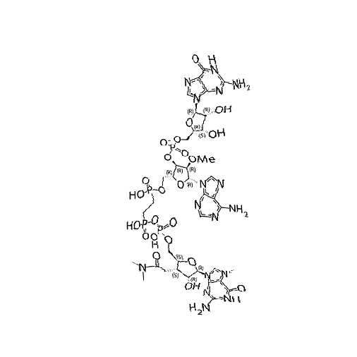 CO[C@@H]1[C@H](OP(=O)([O-])OC[C@H]2O[C@@H](n3cnc4c(=O)[nH]c(N)nc43)[C@H](O)[C@@H]2O)[C@@H](COP(=O)(O)CCP(=O)(O)OP(=O)(O)OC[C@H]2O[C@@H](n3c[n+](C)c4c(=O)[nH]c(N)nc43)[C@H](O)[C@@H]2CC(=O)N(C)C)O[C@H]1n1cnc2c(N)ncnc21